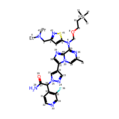 CCN(Cc1cc(N(COCC[Si](C)(C)C)c2nc(C)cn3c(-c4cnn(C(C(N)=O)c5ccncc5F)c4)cnc23)sn1)C(C)C